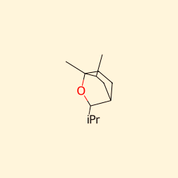 CC(C)C1OC2(C)CCC1CC2C